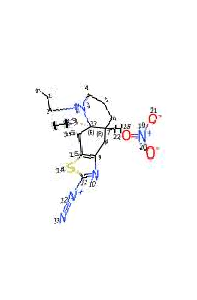 CCCN1CCC[C@@H]2Cc3nc([N+]#N)sc3C[C@H]21.O=[N+]([O-])[O-]